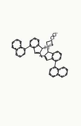 CC1=Cc2c(-c3cccc4ccccc34)cccc2[CH]1[Hf+2]1([CH]2C(C)=Cc3c(-c4cccc5ccccc45)cccc32)[CH2]C[CH2]1.[Cl-].[Cl-]